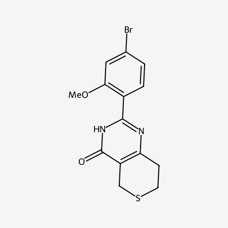 COc1cc(Br)ccc1-c1nc2c(c(=O)[nH]1)CSCC2